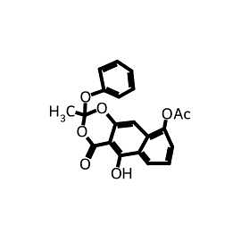 CC(=O)Oc1cccc2c(O)c3c(cc12)OC(C)(Oc1ccccc1)OC3=O